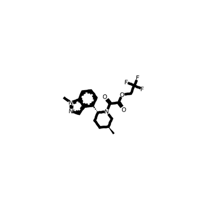 C[C@H]1CC[C@H](c2cccc3c2cnn3C)N(C(=O)C(=O)OCC(F)(F)F)C1